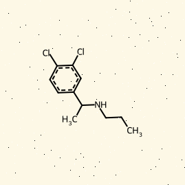 CCCNC(C)c1ccc(Cl)c(Cl)c1